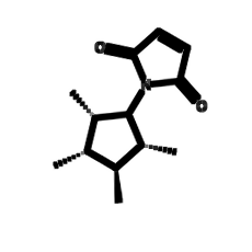 C[C@H]1[C@H](C)[C@@H](C)C(N2C(=O)C=CC2=O)[C@H]1C